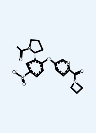 CC(=O)N1CCC[C@@H]1c1cc([N+](=O)[O-])ccc1Oc1ccc(C(=O)N2CCC2)nc1